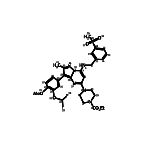 CCOC(=O)N1CCN(c2cc(NCc3cccc(S(C)(=O)=O)c3)n3nc(C)c(-c4ccc(OC)c(OC(F)F)c4)c3n2)CC1